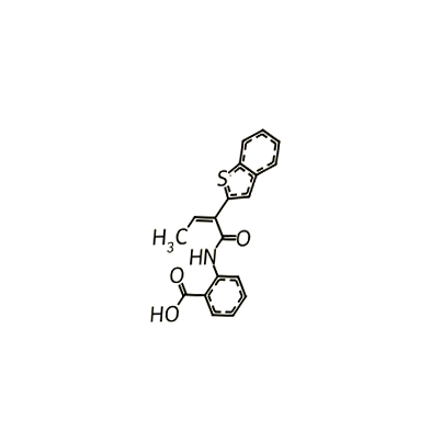 CC=C(C(=O)Nc1ccccc1C(=O)O)c1cc2ccccc2s1